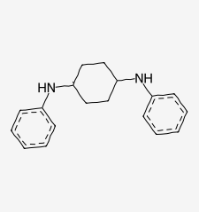 c1ccc(N[C]2CCC(Nc3ccccc3)CC2)cc1